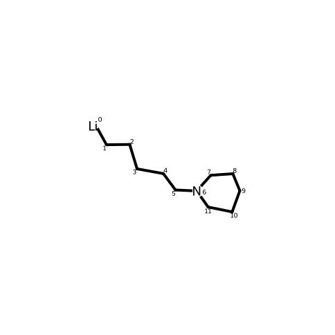 [Li][CH2]CCCCN1CCCCC1